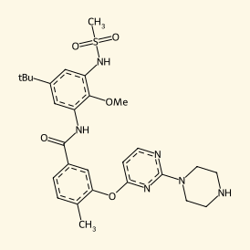 COc1c(NC(=O)c2ccc(C)c(Oc3ccnc(N4CCNCC4)n3)c2)cc(C(C)(C)C)cc1NS(C)(=O)=O